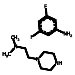 CN(C)CCN1CCNCC1.Nc1cc(F)cc(F)c1